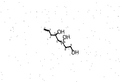 C=CCC(O)CN(O)CCO